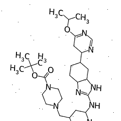 CC(C)OC1=NC=NC(C2CCC3N=C(NC4CC(CN5CCN(C(=O)OC(C)(C)C)CC5)CC=N4)NC3C2)C1